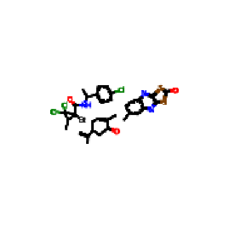 C=C(C)C1CC=C(C)C(=O)C1.CCC1(C(=O)NC(C)c2ccc(Cl)cc2)C(C)C1(Cl)Cl.Cc1ccc2nc3sc(=O)sc3nc2c1